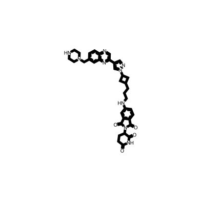 O=C1CCC(N2C(=O)c3ccc(NCCCC4CC(n5cc(-c6cnc7ccc(CN8CCNCC8)cc7n6)cn5)C4)cc3C2=O)C(=O)N1